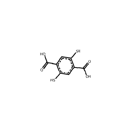 O=C(O)c1cc(S)c(C(=O)O)cc1S